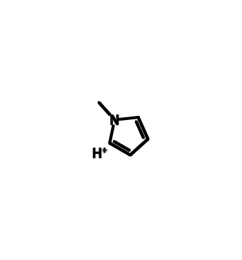 Cn1cccc1.[H+]